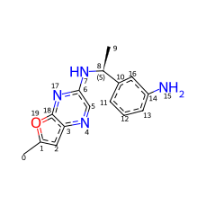 Cc1cc2ncc(N[C@@H](C)c3cccc(N)c3)nc2o1